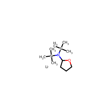 C[Si](C)(C)N(C1CCCO1)[Si](C)(C)C.[Li]